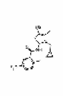 CC1=C(C(C)(C)C)SC(NC(=O)c2cc(C(F)(F)F)ccc2C)N1CC1CC1